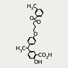 Cc1cccc(S(=O)(=O)CCCOc2ccc(C(C)c3ccc(O)c(C(=O)O)c3)cc2)c1